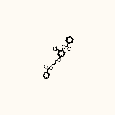 O=C(OCCCOc1ccc(OC(=O)c2ccccc2)c(Cl)c1)c1ccccc1